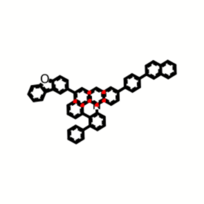 c1ccc(-c2ccccc2-c2c(-c3ccccc3)cccc2N(c2ccc(-c3ccc(-c4ccc5ccccc5c4)cc3)cc2)c2ccc(-c3ccc4oc5ccccc5c4c3)cc2)cc1